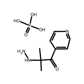 CC(C)(NN)C(=O)c1ccncc1.O=P(O)(O)O